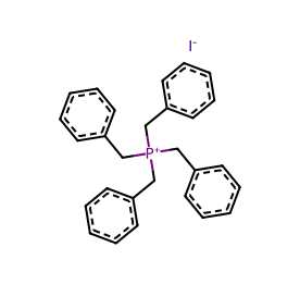 [I-].c1ccc(C[P+](Cc2ccccc2)(Cc2ccccc2)Cc2ccccc2)cc1